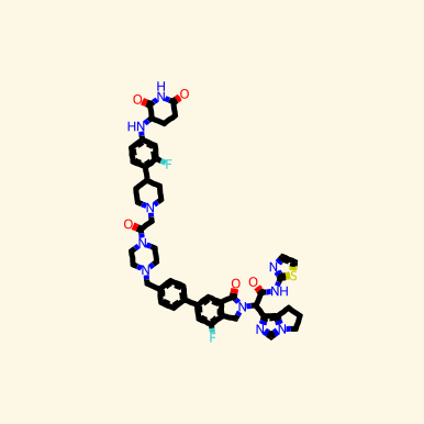 O=C1CCC(Nc2ccc(C3CCN(CC(=O)N4CCN(Cc5ccc(-c6cc(F)c7c(c6)C(=O)N(C(C(=O)Nc6nccs6)c6ncn8c6CCC8)C7)cc5)CC4)CC3)c(F)c2)C(=O)N1